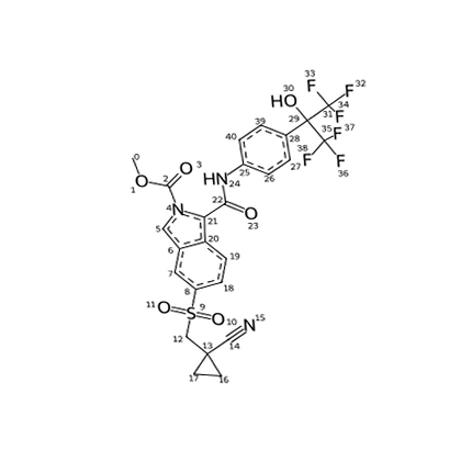 COC(=O)n1cc2cc(S(=O)(=O)CC3(C#N)CC3)ccc2c1C(=O)Nc1ccc(C(O)(C(F)(F)F)C(F)(F)F)cc1